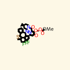 COC(=O)OCOc1c2n(ccc1=O)N(C1c3ccccc3-c3scc4c3-c3c1ccc(F)c3C(F)(F)C4)C1CC3(CCN1C2=O)CC3